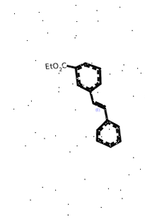 CCOC(=O)c1cccc(/C=C/c2ccccc2)c1